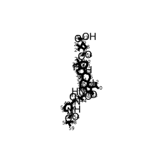 CC(C)C1=C2[C@H]3CC[C@@H]4[C@@]5(C)CC[C@H](OC(=O)[C@H]6C[C@@H](C(=O)O)C6(C)C)C(C)(C)[C@@H]5CC[C@@]4(C)[C@]3(C)CC[C@@]2(NC(=O)C(C)(C)NC(=O)C2CCCN(C(=O)OC(C)(C)C)C2)CC1=O